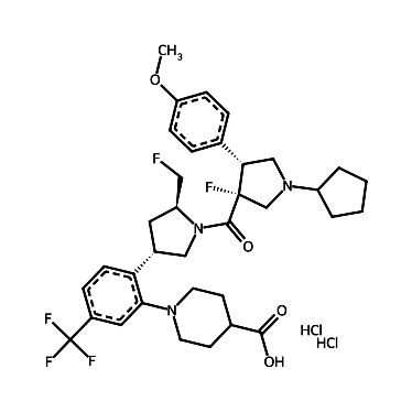 COc1ccc([C@@H]2CN(C3CCCC3)C[C@@]2(F)C(=O)N2C[C@H](c3ccc(C(F)(F)F)cc3N3CCC(C(=O)O)CC3)C[C@H]2CF)cc1.Cl.Cl